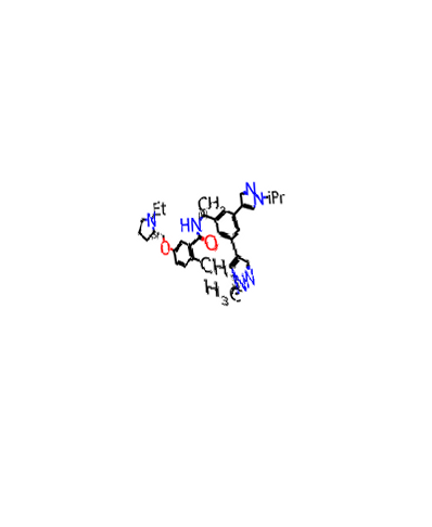 CCN1CCC[C@H]1COc1ccc(C)c(C(=O)N[C@H](C)c2cc(-c3cnn(C)c3)cc(-c3cnn(C(C)C)c3)c2)c1